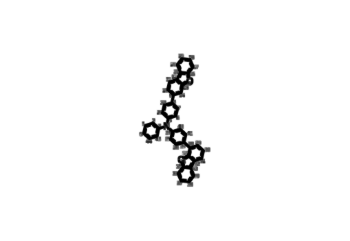 c1ccc(N(c2ccc(-c3ccc4c(c3)oc3ccccc34)cc2)c2ccc(-c3cccc4c3oc3ccccc34)cc2)cc1